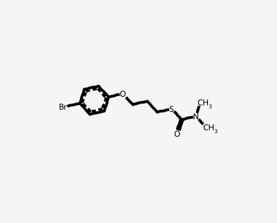 CN(C)C(=O)SCCCOc1ccc(Br)cc1